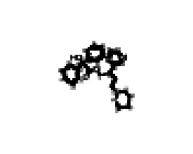 O=C(OC[C@H](CCN1CCCCC1)c1cnccn1)C(O)(c1ccccc1)c1ccccc1